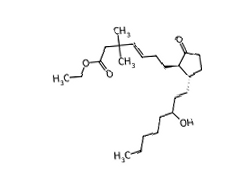 CCCCCC(O)CC[C@H]1CCC(=O)[C@@H]1CCC=CC(C)(C)CC(=O)OCC